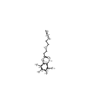 [N-]=[N+]=NCCOCCC(=O)Oc1c(F)c(F)c(F)c(F)c1F